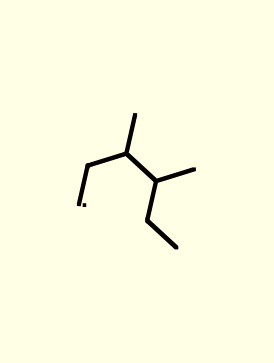 [CH2]CC(C)C(C)CC